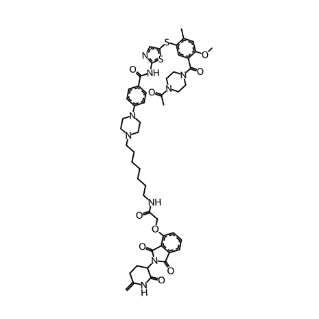 C=C1CCC(N2C(=O)c3cccc(OCC(=O)NCCCCCCCN4CCN(c5ccc(C(=O)Nc6ncc(Sc7cc(C(=O)N8CCN(C(C)=O)CC8)c(OC)cc7C)s6)cc5)CC4)c3C2=O)C(=O)N1